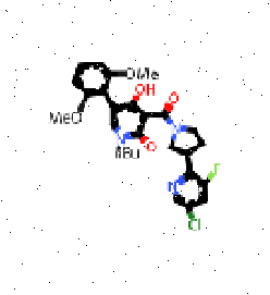 CCCCn1cc(-c2c(OC)cccc2OC)c(O)c(C(=O)N2CCC(c3ncc(Cl)cc3F)C2)c1=O